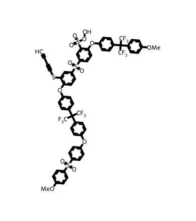 C#CC#CSc1cc(S(=O)(=O)c2ccc(Oc3ccc(C(c4ccc(OC)cc4)(C(F)(F)F)C(F)(F)F)cc3)c(S(=O)(=O)OO)c2)ccc1Oc1ccc(C(c2ccc(Oc3ccc(S(=O)(=O)c4ccc(OC)cc4)cc3)cc2)(C(F)(F)F)C(F)(F)F)cc1